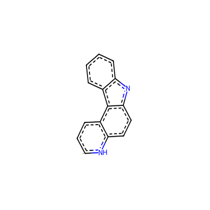 [c]1ccc2c(ccc3nc4ccccc4c32)[nH]1